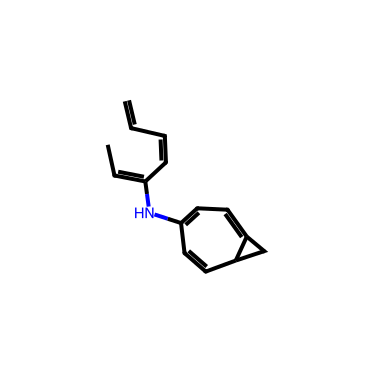 C=C/C=C\C(=C/C)NC1=CC=C2CC2C=C1